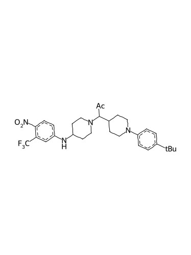 CC(=O)C(C1CCN(c2ccc(C(C)(C)C)cc2)CC1)N1CCC(Nc2ccc([N+](=O)[O-])c(C(F)(F)F)c2)CC1